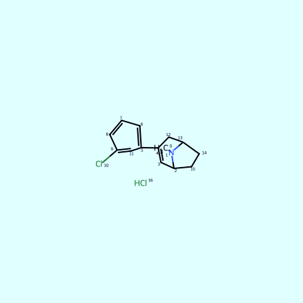 CN1C2C=C(c3cccc(Cl)c3)CC1CC2.Cl